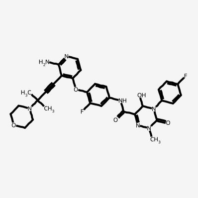 CN1N=C(C(=O)Nc2ccc(Oc3ccnc(N)c3C#CC(C)(C)N3CCOCC3)c(F)c2)C(O)N(c2ccc(F)cc2)C1=O